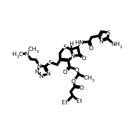 CCC(CC)CC(=O)OC(C)OC(=O)C1=C(CSc2nnnn2CCN(C)C)CS[C@@H]2[C@H](NC(=O)Cc3csc(N)n3)C(=O)N12